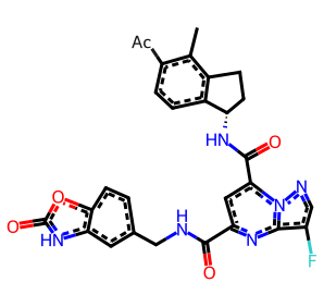 CC(=O)c1ccc2c(c1C)CC[C@@H]2NC(=O)c1cc(C(=O)NCc2ccc3oc(=O)[nH]c3c2)nc2c(F)cnn12